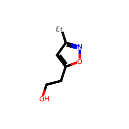 CCc1cc(CCO)on1